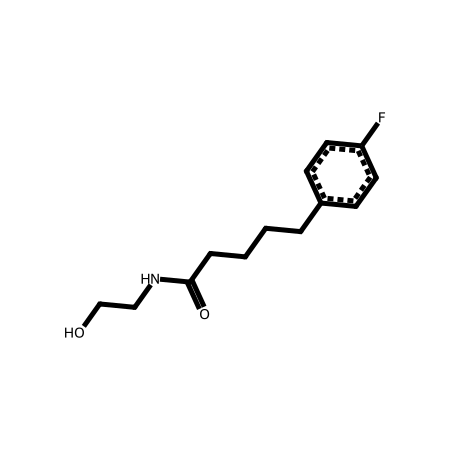 O=C(CCCCc1ccc(F)cc1)NCCO